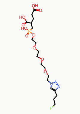 O=C(O)CCC(CP(=O)(O)OCCOCCOCCOCCn1cc(CCCF)nn1)C(=O)O